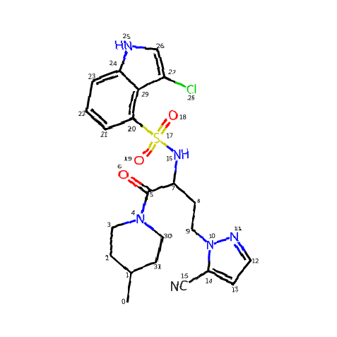 CC1CCN(C(=O)C(CCn2nccc2C#N)NS(=O)(=O)c2cccc3[nH]cc(Cl)c23)CC1